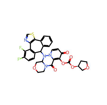 O=C(Oc1c2n(ccc1=O)N(C1c3ccccc3-c3scnc3-c3c1ccc(F)c3F)C1COCCN1C2=O)O[C@H]1CCOC1